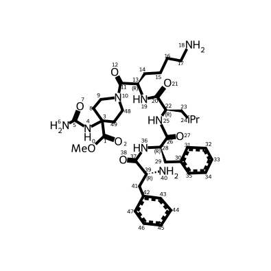 COC(=O)C1(NC(N)=O)CCN(C(=O)[C@@H](CCCCN)NC(=O)[C@@H](CC(C)C)NC(=O)[C@@H](Cc2ccccc2)NC(=O)[C@H](N)Cc2ccccc2)CC1